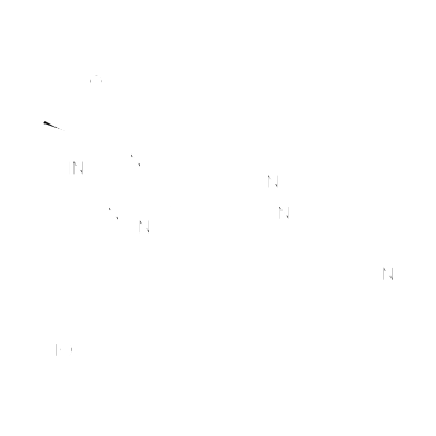 COC[C@H](C)Nc1ncc2c(-c3cnn(CCC#N)c3)cc([C@H]3CC[C@](C)(O)CC3)n2n1